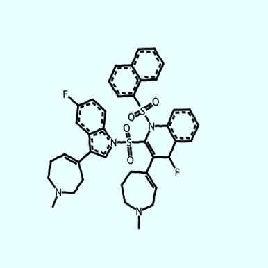 CN1CC=C(C2=C(S(=O)(=O)n3cc(C4=CCCN(C)CC4)c4cc(F)ccc43)N(S(=O)(=O)c3cccc4ccccc34)c3ccccc3C2F)CCC1